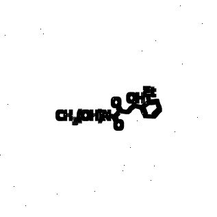 CCc1ccccc1C(O)CC(=O)C(=O)N(C)O